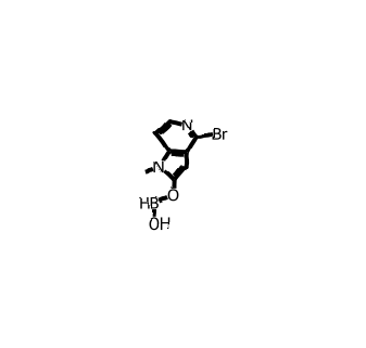 Cn1c(OBO)cc2c(Br)nccc21